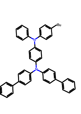 CCC(C)c1ccc(N(c2ccccc2)c2ccc(N(c3ccc(-c4ccccc4)cc3)c3ccc(-c4ccccc4)cc3)cc2)cc1